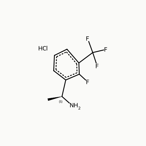 C[C@H](N)c1cccc(C(F)(F)F)c1F.Cl